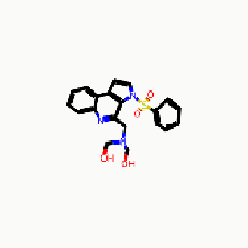 O=S(=O)(c1ccccc1)n1ccc2c3ccccc3nc(CN(CO)CO)c21